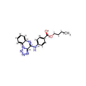 CCCCOC(=O)c1ccc(Nc2nc3ccccc3n3nnnc23)cc1